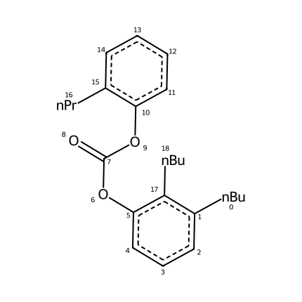 CCCCc1cccc(OC(=O)Oc2ccccc2CCC)c1CCCC